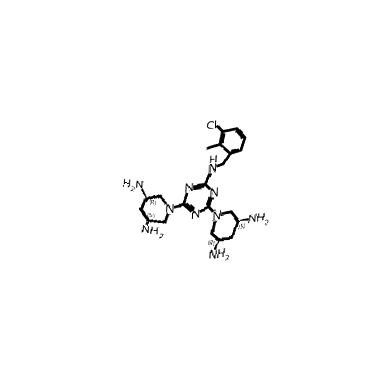 Cc1c(Cl)cccc1CNc1nc(N2C[C@H](N)C[C@H](N)C2)nc(N2C[C@H](N)C[C@H](N)C2)n1